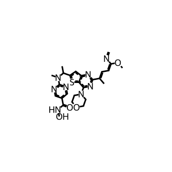 C=N/C(=C\C=C(/C)c1nc(N2CCOCC2)c2sc(C(C)N(C)c3ncc(C(=O)NO)cn3)cc2n1)OC